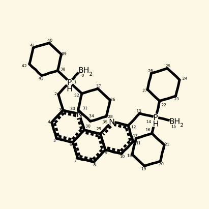 B[PH](Cc1ccc2ccc3ccc(C[PH](B)(C4CCCCC4)C4CCCCC4)nc3c2n1)(C1CCCCC1)C1CCCCC1